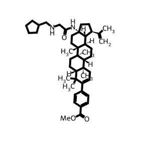 C=C(C)[C@@H]1CC[C@]2(NC(=O)CNCC3CCCC3)CC[C@]3(C)[C@H](CC[C@@H]4[C@@]5(C)CC=C(c6ccc(C(=O)OC)cc6)C(C)(C)[C@@H]5CC[C@]43C)[C@@H]12